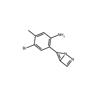 Cc1cc(N)c(-c2c3cnn2-3)cc1Br